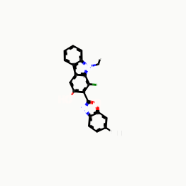 CCn1c2ccccc2c2cc(O)c(-c3nc4ccc(C)cc4o3)c(F)c21